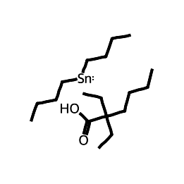 CCCCC(CC)(CC)C(=O)O.CCC[CH2][Sn][CH2]CCC